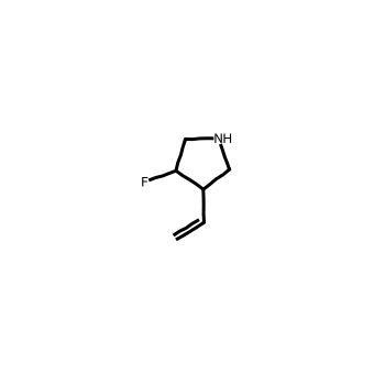 C=CC1CNCC1F